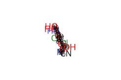 Cc1c(COc2cc(OCc3cncc(C#N)c3)c(CO)cc2Cl)cccc1-c1cccc(OCCCNC[C@H](O)CO)c1Cl